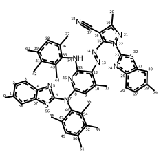 Cc1ccc2nc(N(c3cc(C)c(N=Nc4c(C#N)c(C)nn4-c4nc5ccc(C)cc5s4)c(Nc4c(C)cc(C)c(C)c4C)n3)c3c(C)cc(C)c(C)c3C)sc2c1